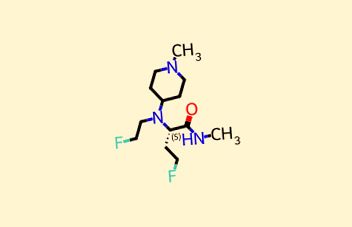 CNC(=O)[C@H](CCF)N(CCF)C1CCN(C)CC1